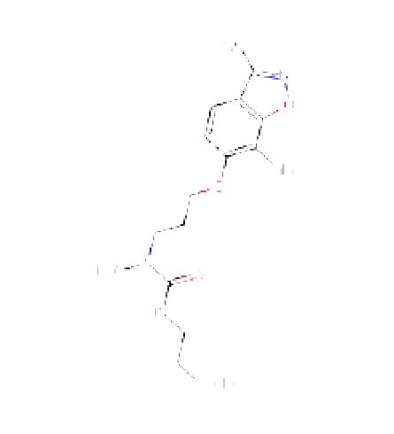 CCCc1c(OCCCN(C)C(=O)NCCC(=O)OCC)ccc2c(C(F)(F)F)noc12